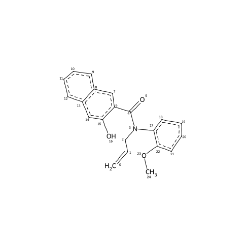 C=CCN(C(=O)c1cc2ccccc2cc1O)c1ccccc1OC